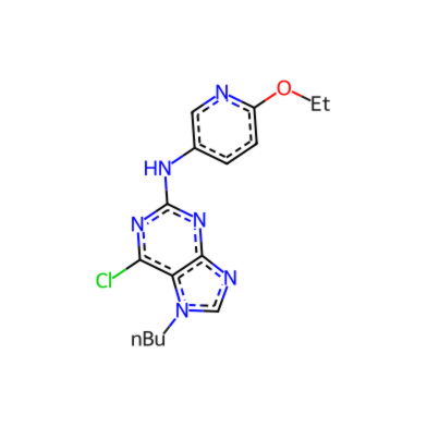 CCCCn1cnc2nc(Nc3ccc(OCC)nc3)nc(Cl)c21